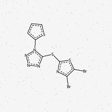 Brc1nc(Sc2nnnn2-c2cccs2)sc1Br